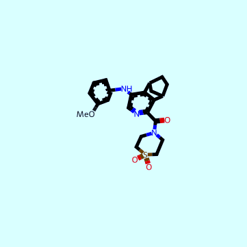 COc1cccc(Nc2cnc(C(=O)N3CCS(=O)(=O)CC3)c3c2C2CCC3C2)c1